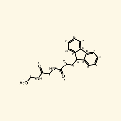 CC(=O)OCNC(=O)CNC(=O)OCC1c2ccccc2-c2ccccc21